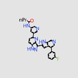 CCCC(=O)Nc1cncc(-c2ccc3[nH]nc(-c4cc5c(-c6cccc(F)c6)cncc5[nH]4)c3n2)c1